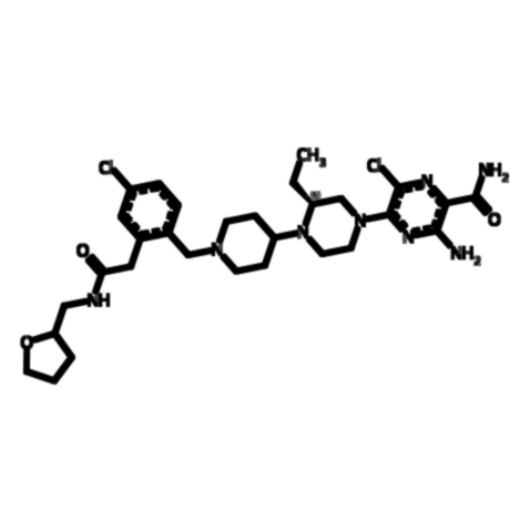 CC[C@H]1CN(c2nc(N)c(C(N)=O)nc2Cl)CCN1C1CCN(Cc2ccc(Cl)cc2CC(=O)NCC2CCCO2)CC1